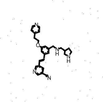 N#Cc1cncc(/C=C/c2cc(CNCC3CCNC3)cc(OCCc3ccncc3)c2)c1